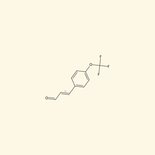 O=C/C=C/c1ccc(OC(F)(F)F)cc1